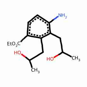 CCOC(=O)c1ccc(N)c(CC(C)O)c1CC(C)O